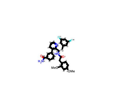 COc1ccc(CC(=O)N[C@@H](Cc2cc(F)cc(F)c2)c2ncccc2-c2cccc(C(N)=O)c2)c(OC)c1